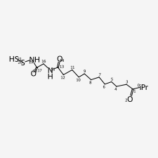 CC(C)C(=O)CCCCCCCCCCC(=O)NCC(=O)NSS